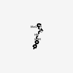 COc1cccnc1CN1C=COC1CCNCCc1nc2cc(-c3ccc(C)cc3)ccc2[nH]1